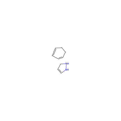 C1=CCCC=C1.C1=CNNC1